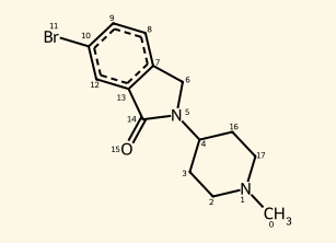 CN1CCC(N2Cc3ccc(Br)cc3C2=O)CC1